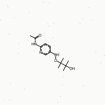 CC(=O)Nc1ccc(BOC(C)(C)C(C)(C)O)cn1